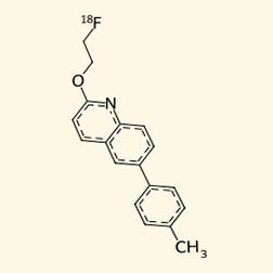 Cc1ccc(-c2ccc3nc(OCC[18F])ccc3c2)cc1